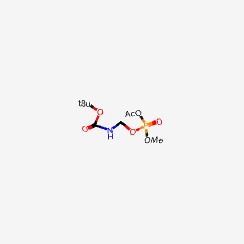 COP(=O)(OCNC(=O)OC(C)(C)C)OC(C)=O